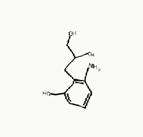 Nc1cccc(O)c1CC(O)CO